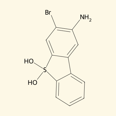 Nc1cc2c(cc1Br)S(O)(O)c1ccccc1-2